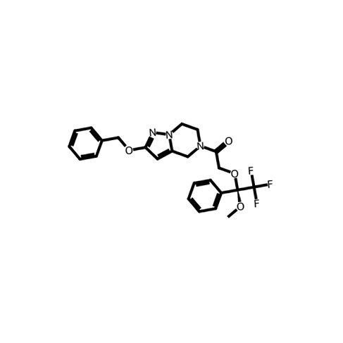 CO[C@](OCC(=O)N1CCn2nc(OCc3ccccc3)cc2C1)(c1ccccc1)C(F)(F)F